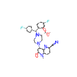 COC(=O)[C@@H]1CN(c2cc(=O)n(C)c3ccc(C#N)nc23)CCN1C(c1ccc(F)cc1)c1ccc(F)cc1